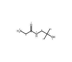 CC(C)(O)CNC(=O)CN